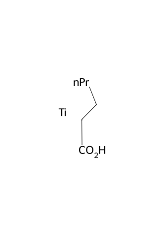 CCCCCC(=O)O.[Ti]